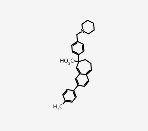 Cc1ccc(-c2ccc3c(c2)=CC(C(=O)O)(c2ccc(CN4CCCCC4)cc2)CCC=3)cc1